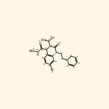 CCC(CC)N(C(=O)CCCN1C=CC=CC1)C(C(=O)NC(C)(C)C)c1ccc(Br)cc1